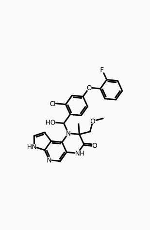 COCC1(C)C(=O)Nc2cnc3[nH]ccc3c2N1C(O)c1ccc(Oc2ccccc2F)cc1Cl